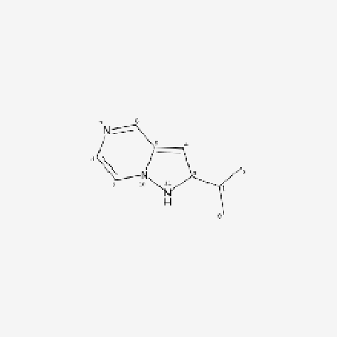 CC(C)C1C=C2C=NC=CN2N1